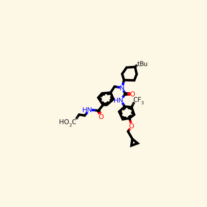 CC(C)(C)C1CCC(N(Cc2ccc(C(=O)NCCC(=O)O)cc2)C(=O)Nc2ccc(OCC3CC3)cc2C(F)(F)F)CC1